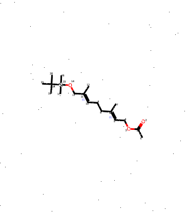 CC(=O)OC/C=C(\C)CC/C=C(\C)CO[Si](C)(C)C(C)(C)C